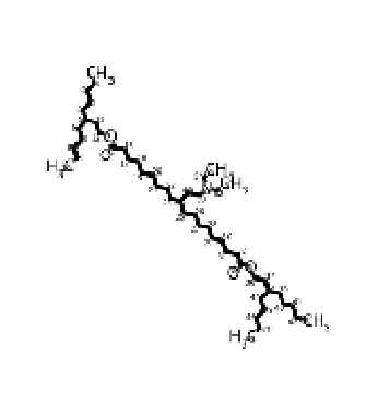 CCCCCC(CCCCC)CCOC(=O)CCCCCCCCC(CCCCCCCCC(=O)OCCC(CCCCC)CCCCC)CCN(CC)CC